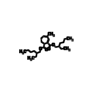 CCCCC(CC)COC(=O)C1=CC(C)=CCCC1C(=O)OCC(CC)CCCC